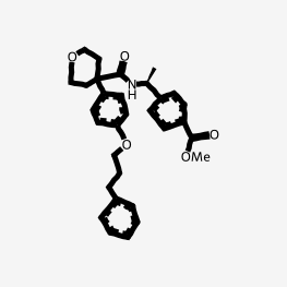 COC(=O)c1ccc([C@H](C)NC(=O)C2(c3ccc(OCCCc4ccccc4)cc3)CCOCC2)cc1